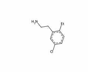 CCc1ccc(Cl)cc1CCN